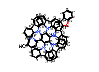 N#Cc1ccc(-c2c(-n3c4ccccc4c4ccccc43)c(-n3c4ccccc4c4ccccc43)c(-n3c4ccccc4c4c5oc6ccccc6c5ccc43)c(-n3c4ccccc4c4ccccc43)c2-n2c3ccccc3c3ccccc32)nc1